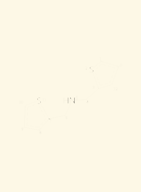 c1csc(CNCc2cccs2)c1